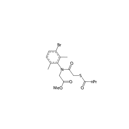 CCCC(=O)SCC(=O)N(CC(=O)OC)c1c(C)ccc(Br)c1C